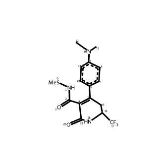 CSNC(=O)C1=C(c2ccc(N(C)C)cc2)CC(C(F)(F)F)NC1=O